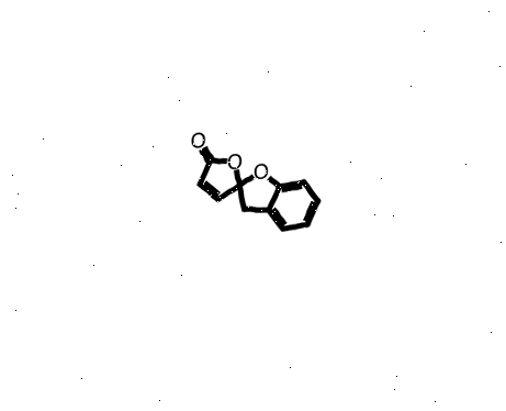 O=C1C=CC2(Cc3ccccc3O2)O1